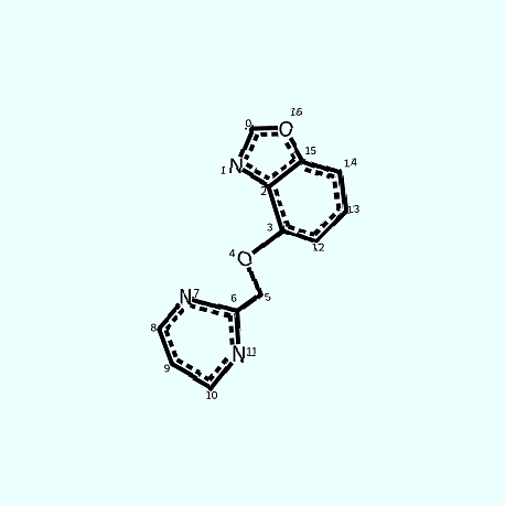 [c]1nc2c(OCc3ncccn3)cccc2o1